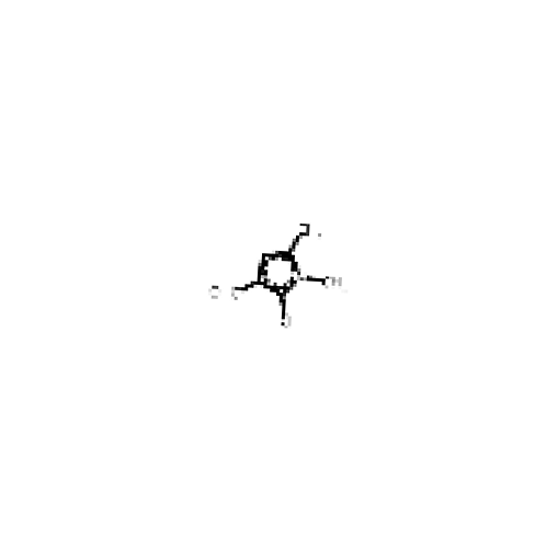 Cc1cc(C=O)c(Cl)n1C